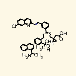 CC(C)(O)c1ccccc1CC[C@@H](SCC1(CC(=O)O)CC1)c1cccc(/C=C/c2ccc3ccc(Cl)cc3n2)c1.CC(N)c1cccc2ccccc12